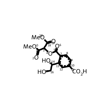 COC(=O)C(OC(=O)c1ccc(C(=O)O)cc1C(O)CO)C(=O)OC